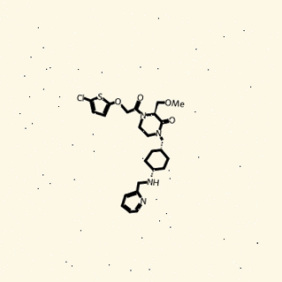 COC[C@H]1C(=O)N(C[C@H]2CC[C@@H](NCc3ccccn3)CC2)CCN1C(=O)COc1ccc(Cl)s1